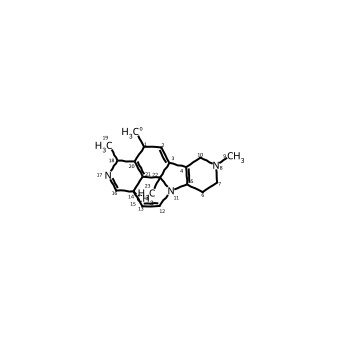 CC1C=C2C3=C(CCN(C)C3)N3C=CC4(C)C=NC(C)C1=C4C23C